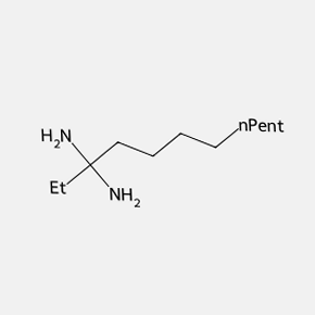 [CH2]CCCCCCCCC(N)(N)CC